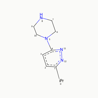 CC(C)c1ccc(N2CCNCC2)nn1